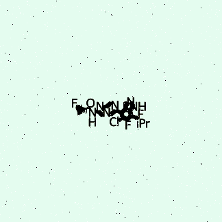 CC(C)C(F)c1c(F)c(Cl)c(-c2cn3cc(NC(=O)[C@@H]4C[C@@H]4F)nc3cn2)c2cn[nH]c12